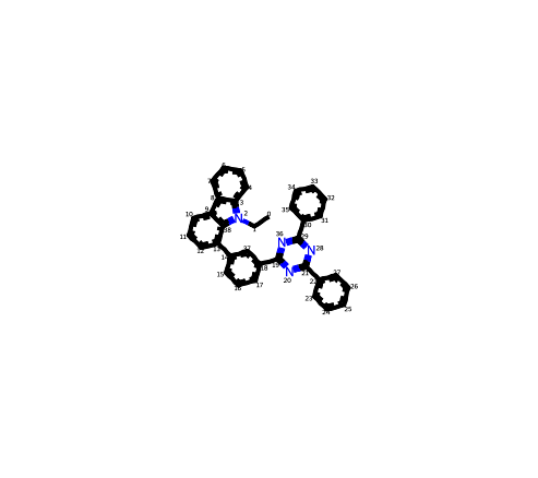 CCn1c2ccccc2c2cccc(-c3cccc(-c4nc(-c5ccccc5)nc(-c5ccccc5)n4)c3)c21